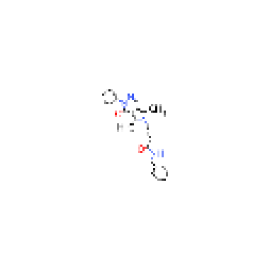 Cc1c2cnn(-c3ccccc3)c(=O)c2c(C)n1CCCC(=O)NCc1ccccc1